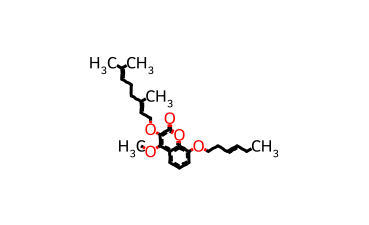 CCC=CCCOc1cccc2c(OC)c(OC/C=C(\C)CCC=C(C)C)c(=O)oc12